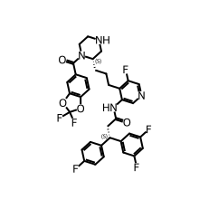 O=C(C[C@@H](c1ccc(F)cc1)c1cc(F)cc(F)c1)Nc1cncc(F)c1CCC[C@H]1CNCCN1C(=O)c1ccc2c(c1)OC(F)(F)O2